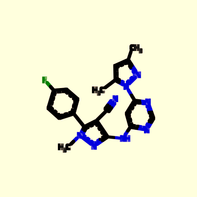 Cc1cc(C)n(-c2cc(Nc3nn(C)c(-c4ccc(F)cc4)c3C#N)ncn2)n1